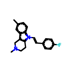 Cc1ccc2c(c1)c1c(n2C=Cc2ccc(F)cc2)CCN(C)C1